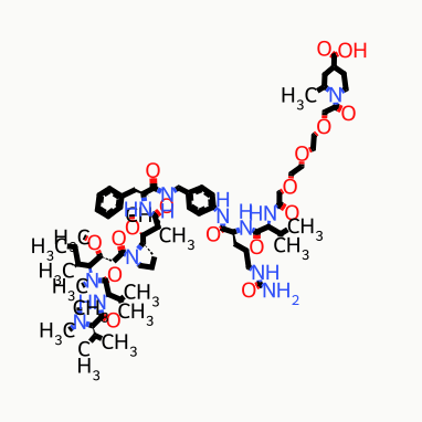 CC[C@H](C)[C@@H]([C@@H](CC(=O)N1CCC[C@H]1[C@H](OC)[C@@H](C)C(=O)N[C@@H](Cc1ccccc1)C(=O)NCc1ccc(NC(=O)[C@H](CCCNC(N)=O)NC(=O)[C@@H](NC(=O)COCCOCCOCC(=O)N2CCC(C(=O)O)CC2C)C(C)C)cc1)OC)N(C)C(=O)[C@@H](NC(=O)[C@H](C(C)C)N(C)C)C(C)C